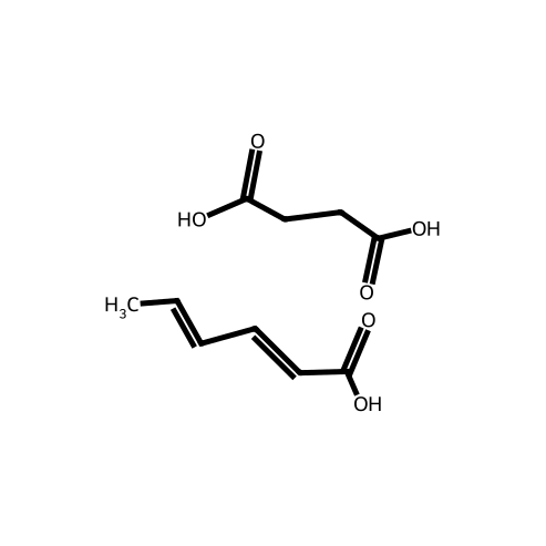 CC=CC=CC(=O)O.O=C(O)CCC(=O)O